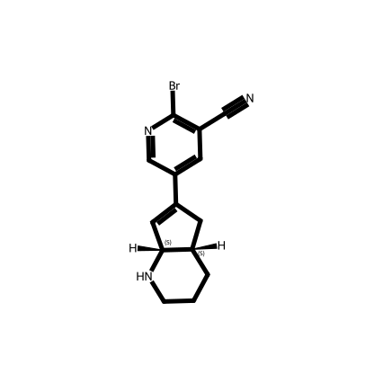 N#Cc1cc(C2=C[C@H]3NCCC[C@H]3C2)cnc1Br